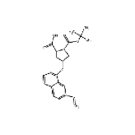 C=Cc1ccc2ccnc(OC3CC(C(=O)O)N(C(=O)OC(C)(C)C)C3)c2c1